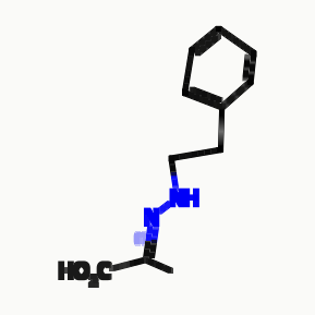 C/C(=N\NCCc1ccccc1)C(=O)O